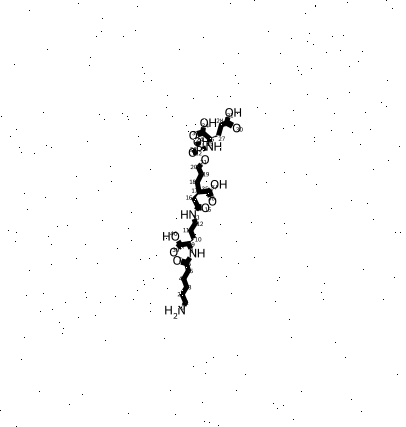 NCCCCCC(=O)N[C@@H](CCCNC(=O)C[C@@H](CCCOP(=O)(O)N[C@@H](CCC(=O)O)C(=O)O)C(=O)O)C(=O)O